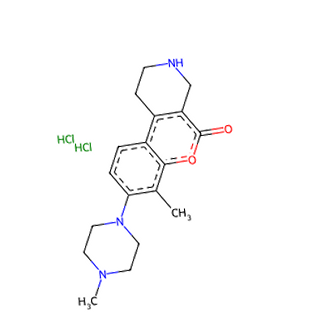 Cc1c(N2CCN(C)CC2)ccc2c3c(c(=O)oc12)CNCC3.Cl.Cl